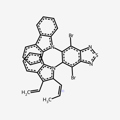 C=Cc1c(/C=C\C)n(-c2c(-n3c4ccccc4c4ccccc43)c(Br)c3nsnc3c2Br)c2ccccc12